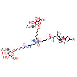 CC(=O)NC1C(OCCCCCC(=O)NCCCC[C@H](NC(=O)CCCCCOC2OC(CO)C(O)C(O)C2NC(C)=O)C(=O)NCCCCCC(=O)NCC(C)CC(C)(C)COC2CCC(C(C)C)CC2)OC(CO)C(O)C1O